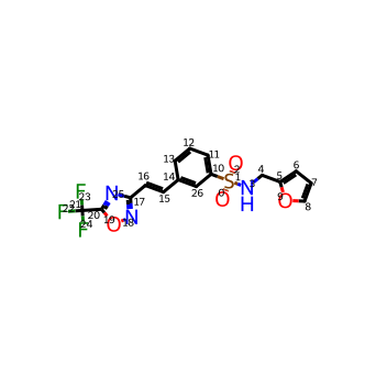 O=S(=O)(NCc1ccco1)c1cccc(C=Cc2noc(C(F)(F)F)n2)c1